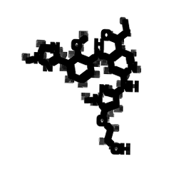 CCC(=O)c1cnc(Nc2cc(OCCO)n(C)n2)cc1Nc1cccc(-c2ncn(C)n2)c1OC